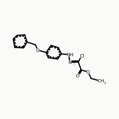 CCOC(=O)/C(Cl)=N/Nc1ccc(OCc2ccccc2)cc1